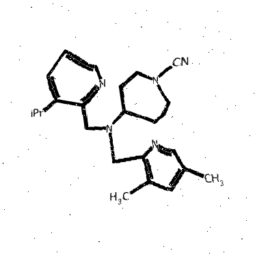 Cc1cnc(CN(Cc2ncccc2C(C)C)C2CCN(C#N)CC2)c(C)c1